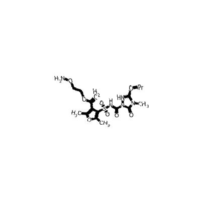 C=C(OCCON)c1c(C)oc(C)c1S(=O)(=O)NC(=O)N1NC(OC(C)C)N(C)C1=O